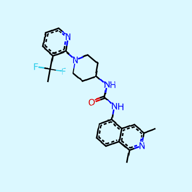 Cc1cc2c(NC(=O)NC3CCN(c4ncccc4C(C)(F)F)CC3)cccc2c(C)n1